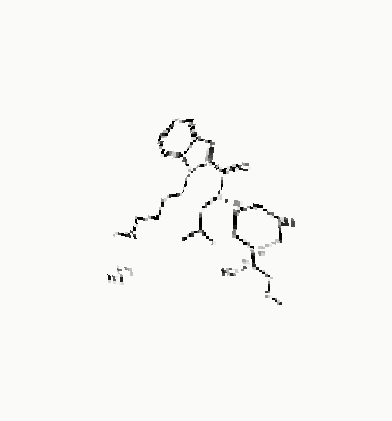 COCCCCn1c(C(=O)N(CC(C)C)[C@@H]2CNC[C@H]([C@@H](O)COC)C2)nc2ccccc21.Cl.Cl